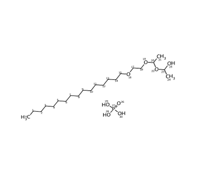 CCCCCCCCCCCCCCCCOCCOC(C)OC(C)O.O=P(O)(O)O